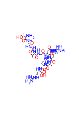 CC(C)[C@H](NC(=O)CNC(=O)CNC(=O)[C@@H](N)[C@@H](C)O)C(=O)NCC(=O)N[C@@H](CC(N)=O)C(=O)N[C@@H](CCCNC(=N)N)C(=O)N[C@@H](C)C(=O)N1CCC[C@H]1C(=O)N[C@@H](CCCNC(=N)N)C(=O)O